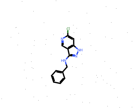 Clc1cc2[nH]nc(NCc3ccccc3)c2cn1